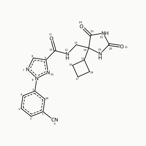 N#Cc1cccc(-n2ncc(C(=O)NCC3(C4CCC4)NC(=O)NC3=O)n2)c1